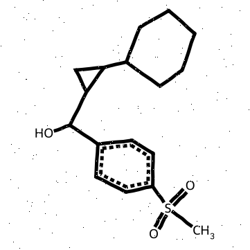 CS(=O)(=O)c1ccc(C(O)C2CC2C2CCCCC2)cc1